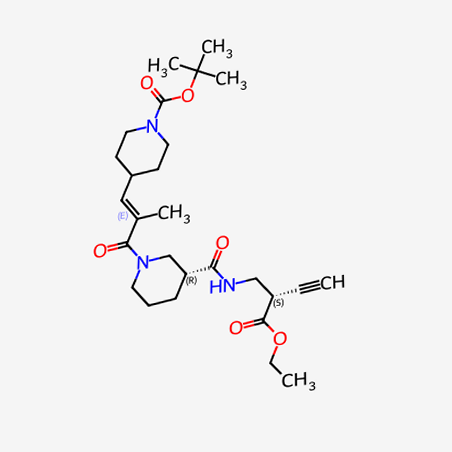 C#C[C@@H](CNC(=O)[C@@H]1CCCN(C(=O)/C(C)=C/C2CCN(C(=O)OC(C)(C)C)CC2)C1)C(=O)OCC